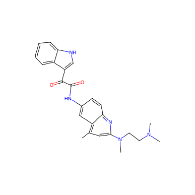 Cc1cc(N(C)CCN(C)C)nc2ccc(NC(=O)C(=O)c3c[nH]c4ccccc34)cc12